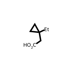 CCC1(CC(=O)O)CC1